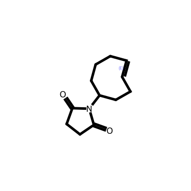 O=C1CCC(=O)N1C1CC/C=C/CCC1